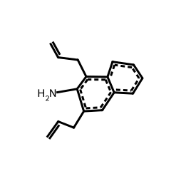 C=CCc1cc2ccccc2c(CC=C)c1N